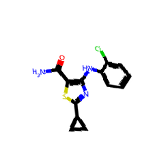 NC(=O)c1sc(C2CC2)nc1Nc1ccccc1Cl